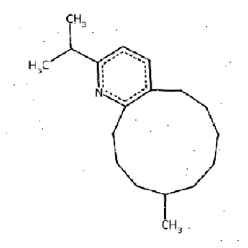 CC1CCCCCc2ccc(C(C)C)nc2CCC1